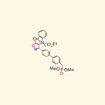 CCOC(=O)N(c1ccccc1)c1c(-c2ccc(-c3ccc(CP(=O)(OC)OC)cc3)cc2)noc1C